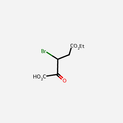 CCOC(=O)CC(Br)C(=O)C(=O)O